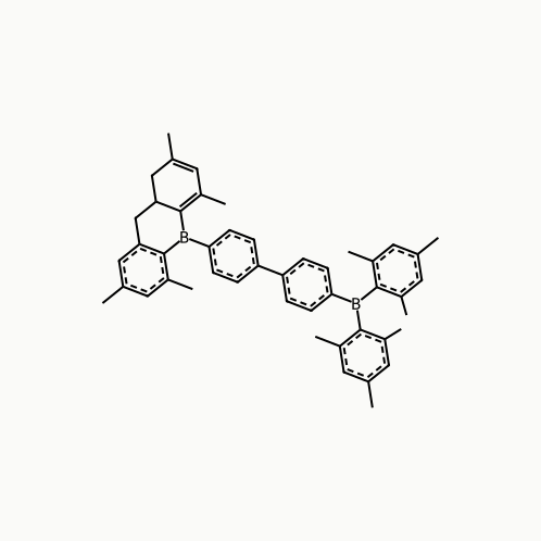 CC1=CC(C)=C2B(c3ccc(-c4ccc(B(c5c(C)cc(C)cc5C)c5c(C)cc(C)cc5C)cc4)cc3)c3c(C)cc(C)cc3CC2C1